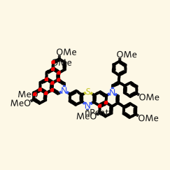 CCCCCN1c2ccc(N(C=C(c3ccc(OC)cc3)c3ccc(OC)cc3)C=C(c3ccc(OC)cc3)c3ccc(OC)cc3)cc2Sc2cc(N(C=C(c3ccc(OC)cc3)c3ccc(OC)cc3)C=C(c3ccc(OC)cc3)c3ccc(OC)cc3)ccc21